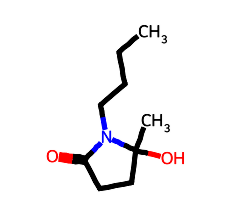 CCCCN1C(=O)CCC1(C)O